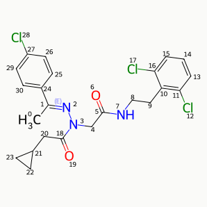 C/C(=N\N(CC(=O)NCCc1c(Cl)cccc1Cl)C(=O)CC1CC1)c1ccc(Cl)cc1